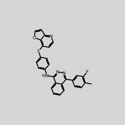 Cc1ccc(-c2nnc(Nc3ccc(Sc4ccnc5ccoc45)cc3)c3ccccc23)cc1F